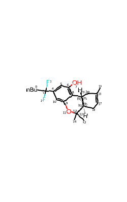 CCCCC(F)(F)c1cc(O)c2c(c1)OC(C)(C)[C@@H]1CC=C(C)C[C@@H]21